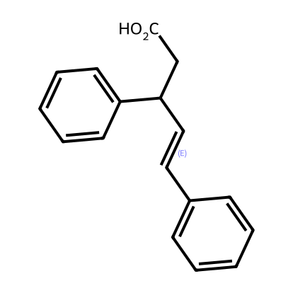 O=C(O)CC(/C=C/c1ccccc1)c1ccccc1